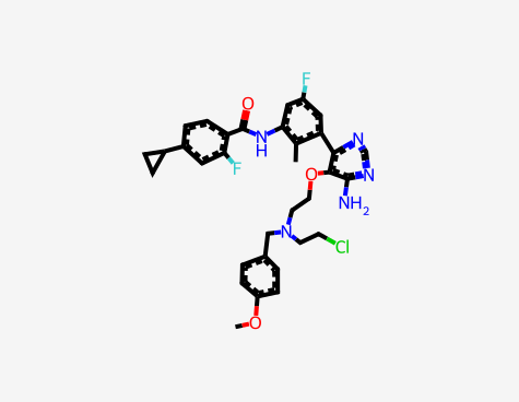 COc1ccc(CN(CCCl)CCOc2c(N)ncnc2-c2cc(F)cc(NC(=O)c3ccc(C4CC4)cc3F)c2C)cc1